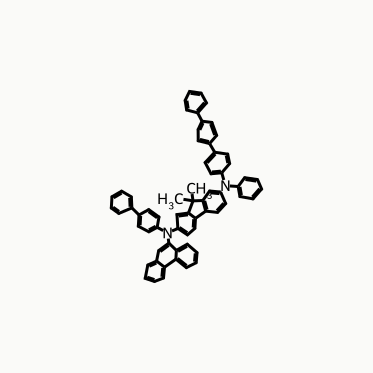 CC1(C)c2cc(N(c3ccccc3)c3ccc(-c4ccc(-c5ccccc5)cc4)cc3)ccc2-c2ccc(N(c3ccc(-c4ccccc4)cc3)c3cc4ccccc4c4ccccc34)cc21